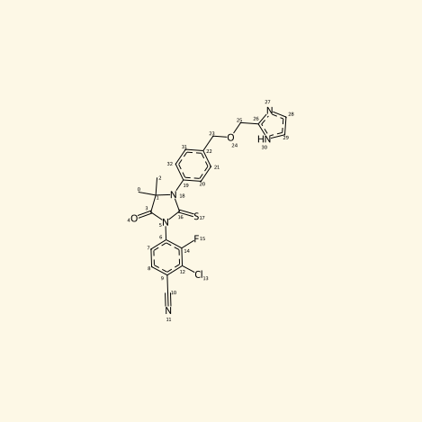 CC1(C)C(=O)N(c2ccc(C#N)c(Cl)c2F)C(=S)N1c1ccc(COCc2ncc[nH]2)cc1